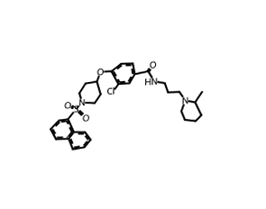 CC1CCCCN1CCCNC(=O)c1ccc(OC2CCN(S(=O)(=O)c3cccc4ccccc34)CC2)c(Cl)c1